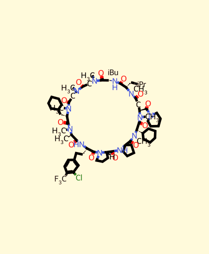 CC[C@H](C)[C@@H]1NC(=O)[C@H](CC(C)C)N(C)C(=O)C[C@@H](C(=O)N2CCCCC2)N(C)C(=O)[C@H](C2CCCCC2)N(C)C(=O)C2(CCCC2)NC(=O)[C@@H]2CCCN2C(=O)[C@H](CCc2ccc(C(F)(F)F)c(Cl)c2)NC(=O)[C@H](C)N(C)C(=O)[C@H](CC2CCCCC2)N(C)C(=O)CN(C)C(=O)CN(C)C1=O